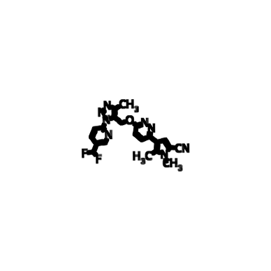 Cc1nnn(-c2ccc(C(F)F)cn2)c1COc1ccc(-c2cc(C#N)n(C)c2C)nn1